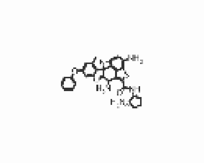 Cc1cc(Oc2ccccc2)ccc1C1(N)C(=O)C(N)c2c(C(=O)N[C@H]3CCC[C@@H]3N)sc3c(N)ccc1c23